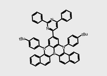 CC(C)(C)c1ccc(N2c3cc(-c4cc(-c5ccccc5)nc(-c5ccccc5)n4)cc4c3B(c3ccc5ccccc5c32)c2ccc3ccccc3c2N4c2ccc(C(C)(C)C)cc2)cc1